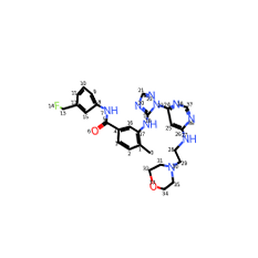 Cc1ccc(C(=O)Nc2cccc(CF)c2)cc1Nc1ncnn1-c1cc(NCCN2CCOCC2)ncn1